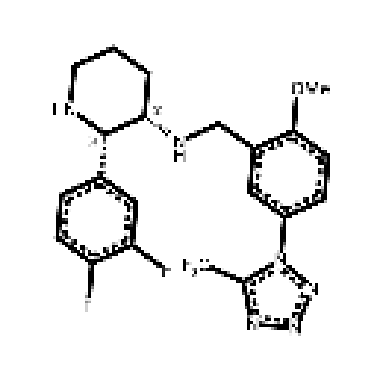 COc1ccc(-n2nnnc2C(F)(F)F)cc1CN[C@H]1CCCN[C@H]1c1ccc(F)c(F)c1